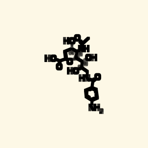 CC(=O)N[C@H]1[C@H]([C@H](O)[C@H](O)CNC(=O)c2ccc(N)cc2)OC(C(=O)O)=C[C@@H]1O